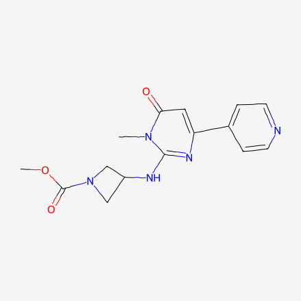 COC(=O)N1CC(Nc2nc(-c3ccncc3)cc(=O)n2C)C1